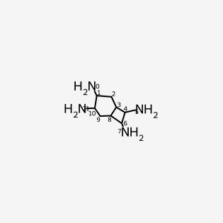 NC1CC2C(N)C(N)C2CC1N